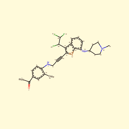 CNC(=O)c1ccc(NCC#Cc2sc3c(NC4CCN(C)CC4)cccc3c2C(F)C(F)F)c(OC)c1